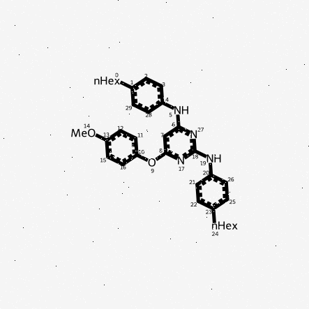 CCCCCCc1ccc(Nc2cc(Oc3ccc(OC)cc3)nc(Nc3ccc(CCCCCC)cc3)n2)cc1